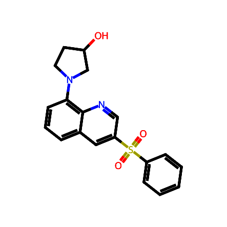 O=S(=O)(c1ccccc1)c1cnc2c(N3CCC(O)C3)cccc2c1